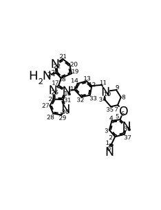 N#Cc1ccc(OC2CCN(Cc3ccc(-n4c(-c5cccnc5N)nc5cccnc54)cc3)CC2)nc1